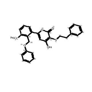 O=C(O)c1cccc(-c2cc(O)c(SCCc3ccccc3)c(=O)o2)c1COc1ccccc1